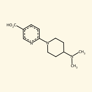 CN(C)C1CCN(c2ccc(C(=O)O)cn2)CC1